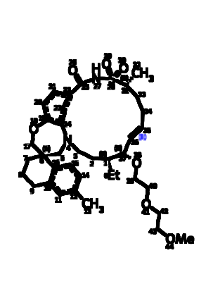 CC[C@@H]1CCN2C[C@@]3(CCCc4cc(C)ccc43)COc3ccc(cc32)C(=O)NS(=O)(=O)[C@H](C)CC/C=C/[C@@H]1OCCOCCOC